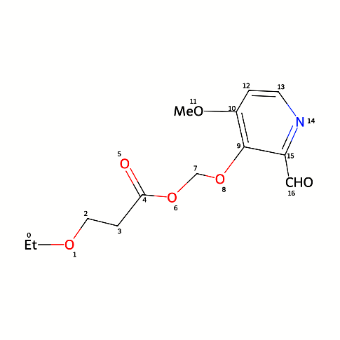 CCOCCC(=O)OCOc1c(OC)ccnc1C=O